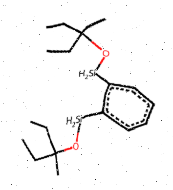 CCC(C)(CC)O[SiH2]c1ccccc1[SiH2]OC(C)(CC)CC